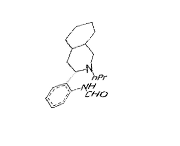 CCCN1CC2CCCCC2C[C@H]1c1ccccc1NC=O